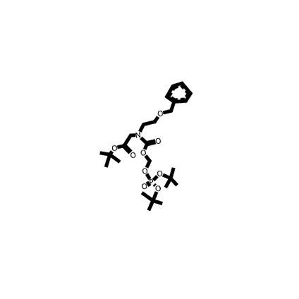 CC(C)(C)OC(=O)CN(CCOCc1ccccc1)C(=O)OCOP(=O)(OC(C)(C)C)OC(C)(C)C